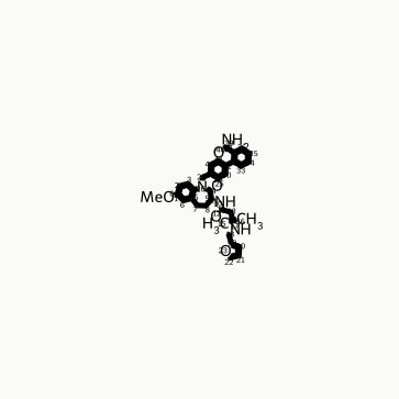 COc1ccc2c(c1)CC[C@@H](NC(=O)CC(C)(C)NCc1ccco1)C(=O)N2Cc1ccc(-c2ccccc2C(N)=O)cc1